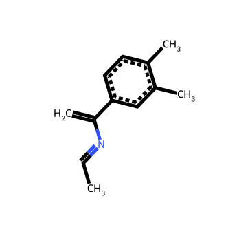 C=C(/N=C/C)c1ccc(C)c(C)c1